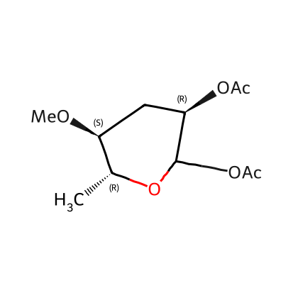 CO[C@H]1C[C@@H](OC(C)=O)C(OC(C)=O)O[C@@H]1C